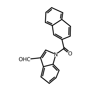 O=Cc1cn(C(=O)c2ccc3ccccc3c2)c2ccccc12